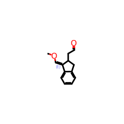 CO/C=C1/c2ccccc2CC1CC=O